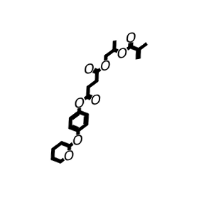 C=C(C)C(=O)OC(C)COC(=O)CCC(=O)Oc1ccc(OC2CCCCO2)cc1